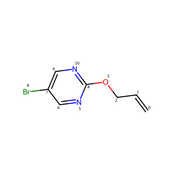 C=CCOc1ncc(Br)cn1